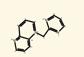 c1cnc(C[n+]2cccc3ncccc32)nc1